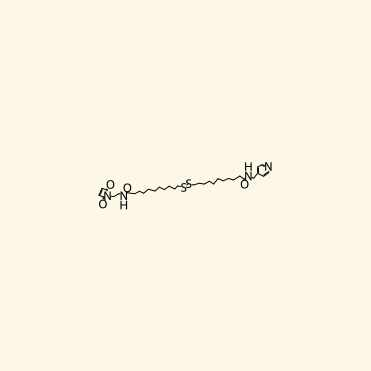 O=C(CCCCCCCCCCSSCCCCCCCCCCC(=O)NCc1ccncc1)NCCN1C(=O)C=CC1=O